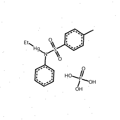 C[CH2][Hg][N](c1ccccc1)S(=O)(=O)c1ccc(C)cc1.O=P(O)(O)O